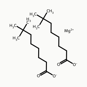 CC(C)(C)CCCCCC(=O)[O-].CC(C)(C)CCCCCC(=O)[O-].[Mg+2]